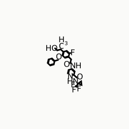 CC(CO)c1cc(F)c(CC(=O)Nc2ccnc(C(=O)NC3(C(F)(F)F)CC3)c2)cc1OCc1ccccc1